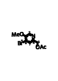 COc1cnc(COC(C)=O)cc1Br